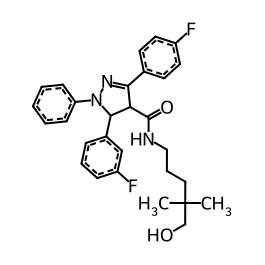 CC(C)(CO)CCCNC(=O)C1C(c2ccc(F)cc2)=NN(c2ccccc2)C1c1cccc(F)c1